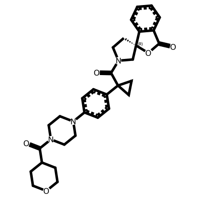 O=C1O[C@]2(CCN(C(=O)C3(c4ccc(N5CCN(C(=O)C6CCOCC6)CC5)cc4)CC3)C2)c2ccccc21